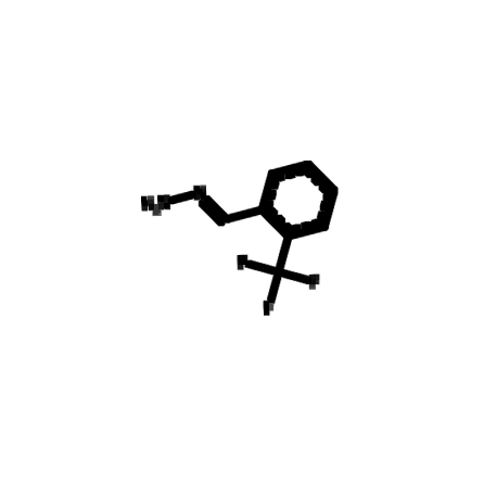 NN=Cc1ccccc1C(F)(F)F